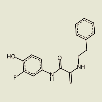 C=C(NCCc1ccccc1)C(=O)Nc1ccc(O)c(F)c1